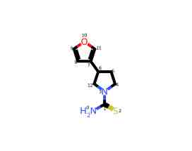 NC(=S)N1CCC(c2ccoc2)C1